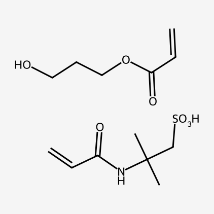 C=CC(=O)NC(C)(C)CS(=O)(=O)O.C=CC(=O)OCCCO